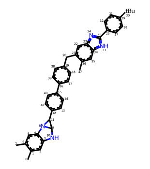 Cc1cc2c(cc1C)N1C(N2)C1c1ccc(-c2ccc(Cc3cc4nc(-c5ccc(C(C)(C)C)cc5)[nH]c4cc3C)cc2)cc1